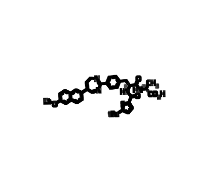 CCOc1ccc2cc(C3=CCN=C(c4ccc(C[C@H](NC(=O)c5ccc(C(C)(C)C)s5)C(=O)N[C@H](C)C(=O)O)cc4)N=C3)ccc2c1